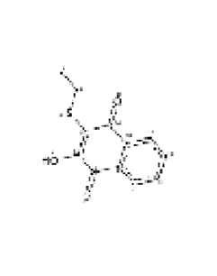 CCSC1=C(O)C(=O)c2ccccc2C1=O